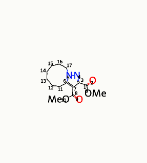 COC(=O)c1nn2c(c1C(=O)OC)CCCCCCC2